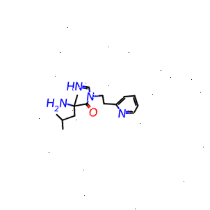 CC(C)CC(C)(N)C(=O)N(C=N)CCc1ccccn1